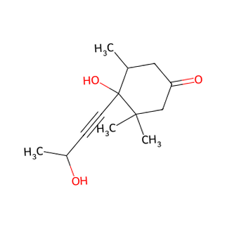 CC(O)C#CC1(O)C(C)CC(=O)CC1(C)C